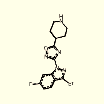 CCc1nn(-c2noc(C3CCNCC3)n2)c2cc(F)ccc12